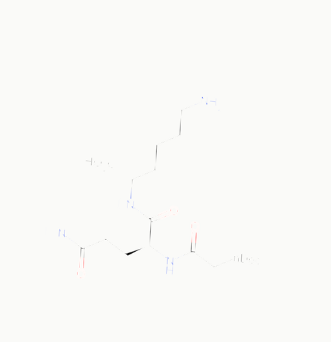 CCCCCCCCCCCC(=O)N[C@@H](CCC(N)=O)C(=O)N[C@@H](CCCCN)C(=O)O